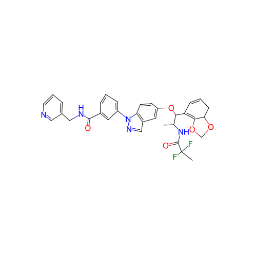 CC(NC(=O)C(C)(F)F)C(Oc1ccc2c(cnn2-c2cccc(C(=O)NCc3cccnc3)c2)c1)C1=C2OCOC2CC=C1